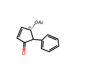 CC(=O)O[C@H]1C=CC(=O)C1c1ccccc1